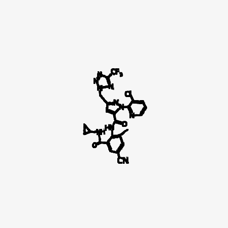 Cc1cc(C#N)cc(C(=O)NC2CC2)c1NC(=O)c1cc(Cn2nnc(C(F)(F)F)n2)nn1-c1ncccc1Cl